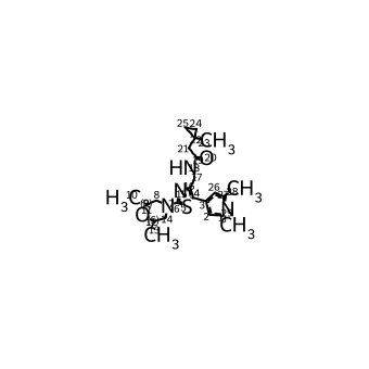 Cc1cc(-c2sc(N3C[C@@H](C)O[C@@H](C)C3)nc2CNC(=O)CC2(C)CC2)cc(C)n1